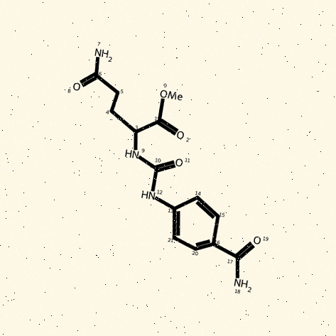 COC(=O)C(CCC(N)=O)NC(=O)Nc1ccc(C(N)=O)cc1